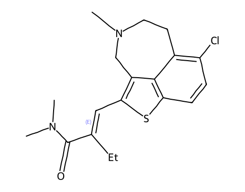 CC/C(=C\c1sc2ccc(Cl)c3c2c1CN(C)CC3)C(=O)N(C)C